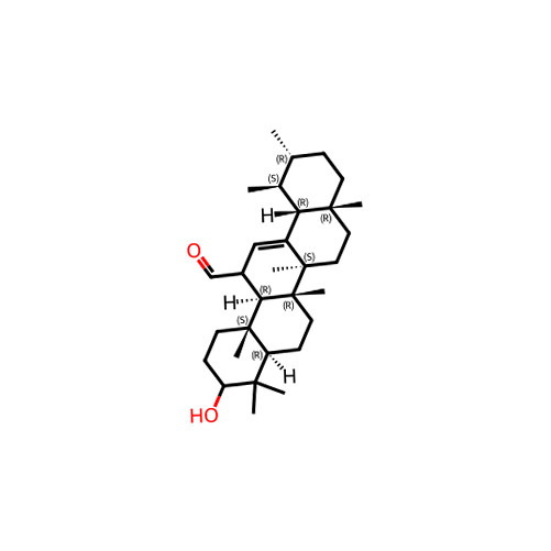 C[C@H]1[C@H](C)CC[C@]2(C)CC[C@]3(C)C(=CC(C=O)[C@@H]4[C@@]5(C)CCC(O)C(C)(C)[C@@H]5CC[C@]43C)[C@H]12